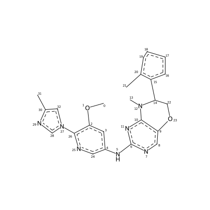 COc1cc(Nc2ncc3c(n2)N(C)C(c2ccccc2C)CO3)cnc1-n1cnc(C)c1